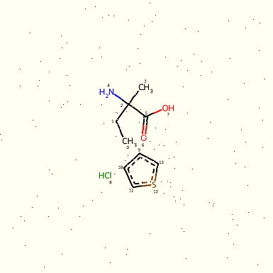 CCC(C)(N)C(=O)O.Cl.c1ccsc1